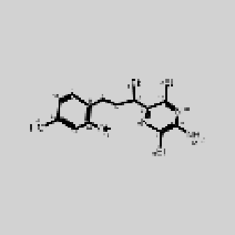 CCc1nc(C(CC)CCc2ccc(O)cc2O)c(CC)nc1N